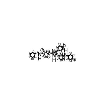 CC1(C(=O)NCc2ccccc2)COC(c2nc(-c3ccc(F)cc3)c(-c3ccnc(Nc4ccc(F)cc4)n3)[nH]2)OC1